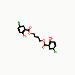 O=C(OCCCCOC(=O)c1cc(Br)ccc1O)c1cc(Br)ccc1O